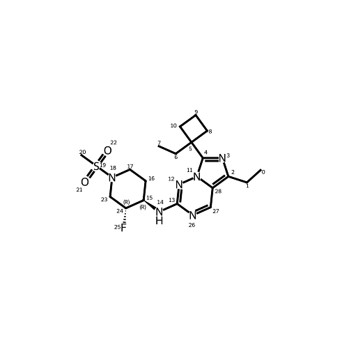 CCc1nc(C2(CC)CCC2)n2nc(N[C@@H]3CCN(S(C)(=O)=O)C[C@H]3F)ncc12